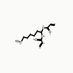 C=CC(=O)OC(CCCCCCCCCCCCCCC)OC(=O)C=C